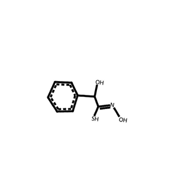 O/N=C(\S)C(O)c1ccccc1